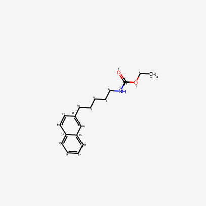 CCOC(=O)NCCCCCc1ccc2ccccc2c1